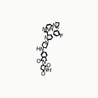 O=C1CCC(N2Cc3ccc(NC4CCN(c5cccc(-c6cnc7ccc(N8CCC[C@@H]8c8cccc(F)c8)nn67)n5)CC4)cc3C2=O)C(=O)N1